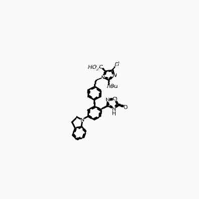 CCCCc1nc(Cl)c(C(=O)O)n1Cc1ccc(-c2cc(N3CCc4ccccc43)ccc2-c2noc(=O)[nH]2)cc1